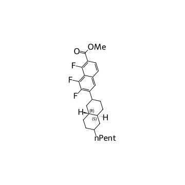 CCCCCC1CC[C@@H]2CC(c3cc4ccc(C(=O)OC)c(F)c4c(F)c3F)CC[C@H]2C1